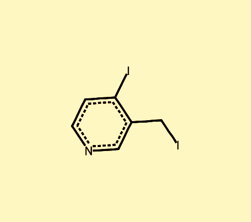 ICc1cnccc1I